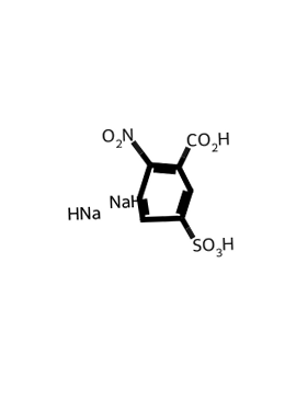 O=C(O)c1cc(S(=O)(=O)O)ccc1[N+](=O)[O-].[NaH].[NaH]